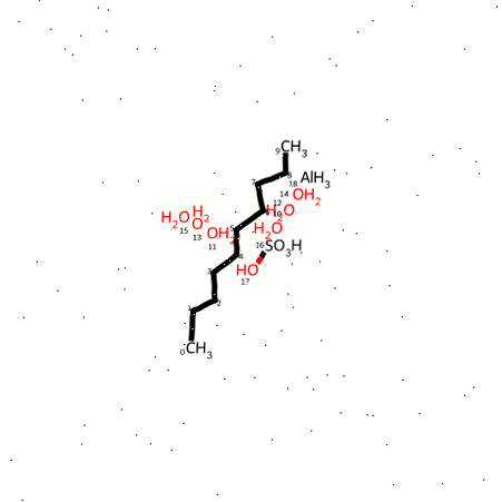 CCCCCCCCCC.O.O.O.O.O.O.O=S(=O)(O)O.[AlH3]